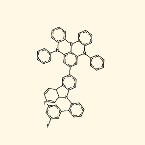 Fc1cc(F)cc(-c2ccccc2N2c3ccc(-c4cc5c6c(c4)N(c4ccccc4)c4ccccc4B6c4ccccc4N5c4ccccc4)cc3C3C=CC=CC32)c1